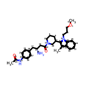 COCCCn1c(C2CCCN(C(=O)C[C@H](N)Cc3ccc(NC(C)=O)cc3)C2)c(C)c2ccccc21